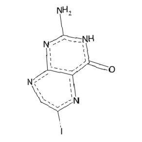 Nc1nc2ncc(I)nc2c(=O)[nH]1